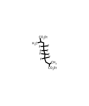 CCOC(=O)C(C)CC(F)(F)C(F)(F)C(F)(F)C(F)(F)CC(C)C(=O)OCC